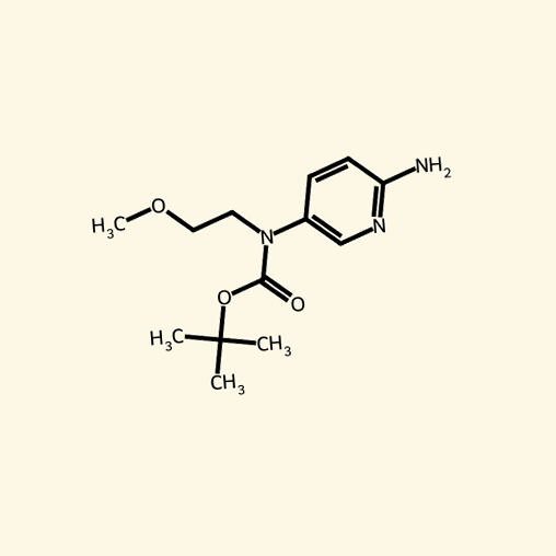 COCCN(C(=O)OC(C)(C)C)c1ccc(N)nc1